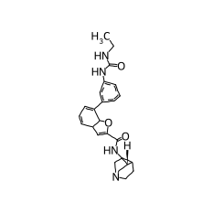 CCNC(=O)Nc1cccc(C2=CC=CC3C=C(C(=O)N[C@H]4CN5CCC4CC5)OC23)c1